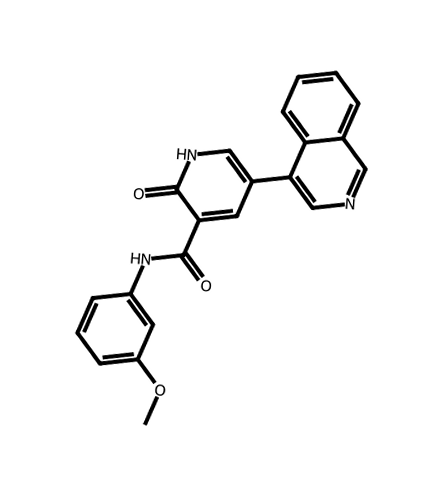 COc1cccc(NC(=O)c2cc(-c3cncc4ccccc34)c[nH]c2=O)c1